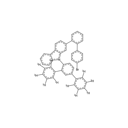 [2H]c1c([2H])c([2H])c(-c2ccc(-n3c4ccccc4c4ccc(-c5ccccc5-c5ccc(Br)cc5)cc43)c(-c3c([2H])c([2H])c([2H])c([2H])c3[2H])c2)c([2H])c1[2H]